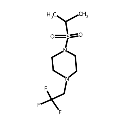 CC(C)S(=O)(=O)N1CCN(CC(F)(F)F)CC1